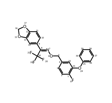 Fc1ccc(CON=C(c2ccc3c(c2)OCO3)C(F)(F)F)cc1Oc1ccccc1